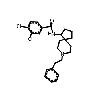 O=C(NC1CCCC12CCN(CCc1ccccc1)CC2)c1ccc(Cl)c(Cl)c1